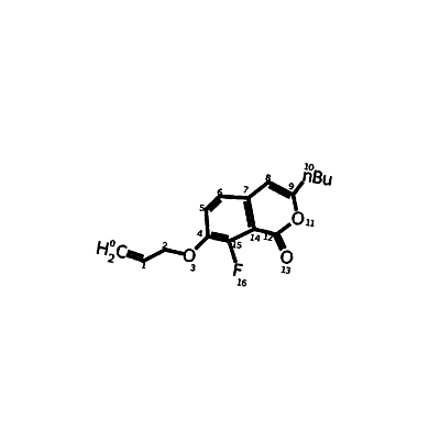 C=CCOc1ccc2cc(CCCC)oc(=O)c2c1F